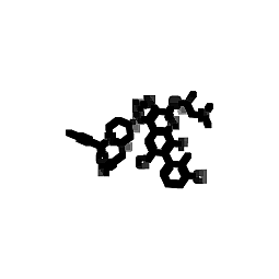 CC#CC(=O)N1CC[C@H](n2nnc3c(O[C@@H](C)CN(C)C)nc4c(F)c(-c5cccc(Cl)c5C)c(Cl)cc4c32)C[C@H]1CC#N